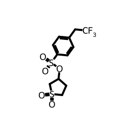 O=S1(=O)CCC(OS(=O)(=O)c2ccc(CC(F)(F)F)cc2)C1